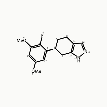 COc1cc(OC)c(F)c([C@H]2CCc3cn[nH]c3C2)c1